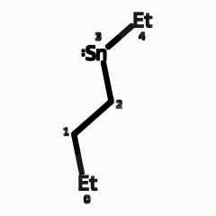 CCC[CH2][Sn][CH2]C